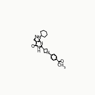 CC(=O)c1ccc(N2CC(c3nc4c(cnn4C4CCCCC4)c(=O)[nH]3)C2)cc1